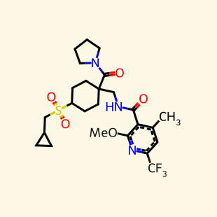 COc1nc(C(F)(F)F)cc(C)c1C(=O)NCC1(C(=O)N2CCCC2)CCC(S(=O)(=O)CC2CC2)CC1